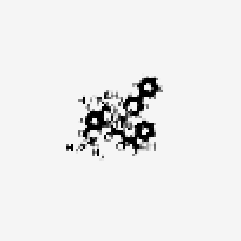 C[C@H](c1c[nH]c2ccccc12)[C@@H](NC(=O)N1CCC(c2ccccc2)CC1)C(=O)Nc1cc(CN(C)C)ccc1C(=O)N(C)C